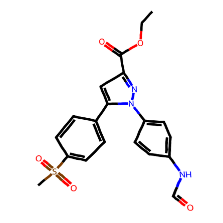 CCOC(=O)c1cc(-c2ccc(S(C)(=O)=O)cc2)n(-c2ccc(NC=O)cc2)n1